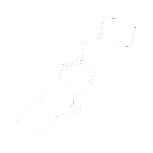 Clc1cc(NC2CCCCC2)ccc1NC1CCCCC1